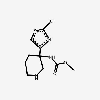 COC(=O)NC1(c2csc(Cl)n2)CCCNC1